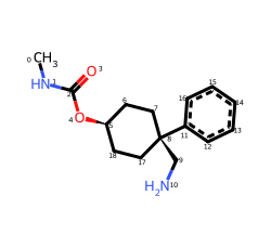 CNC(=O)O[C@H]1CC[C@](CN)(c2ccccc2)CC1